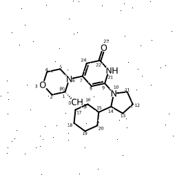 C[C@@H]1COCCN1c1cc(N2CCCC2C2CCCCC2)[nH]c(=O)c1